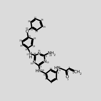 C=CC(=O)Nc1cccc(Nc2nc(N)nc(Nc3ccc(Oc4ccccc4)cc3)n2)c1